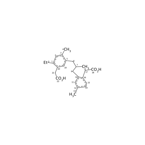 CCc1cc(C)c(CC(C)Cc2cc(C)ccc2CC(=O)O)cc1CC(=O)O